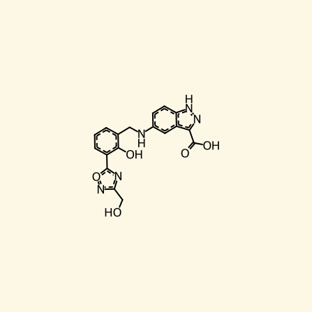 O=C(O)c1n[nH]c2ccc(NCc3cccc(-c4nc(CO)no4)c3O)cc12